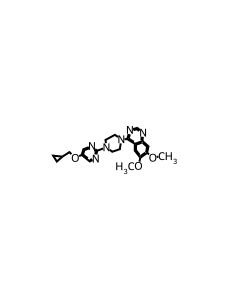 COc1cc2ncnc(N3CCN(c4ncc(OCC5CC5)cn4)CC3)c2cc1OC